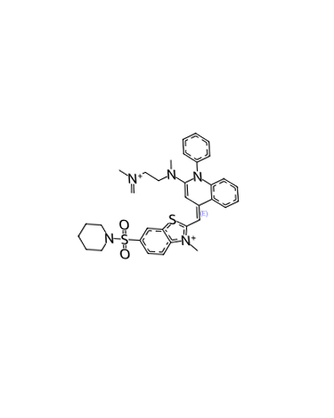 C=[N+](C)CCN(C)C1=C/C(=C\c2sc3cc(S(=O)(=O)N4CCCCC4)ccc3[n+]2C)c2ccccc2N1c1ccccc1